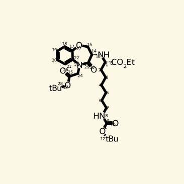 CCOC(=O)[C@H](CCCCCCNC(=O)OC(C)(C)C)N[C@H]1COc2ccccc2N(CC(=O)OC(C)(C)C)C1=O